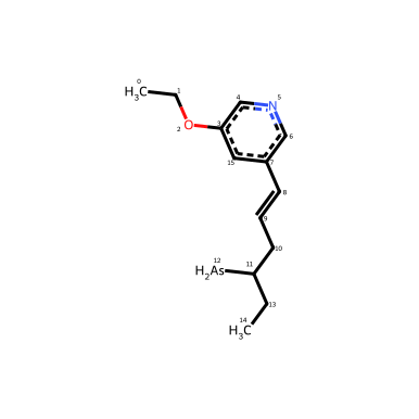 CCOc1cncc(C=CCC([AsH2])CC)c1